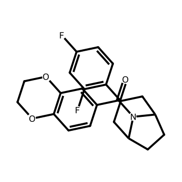 O=C(c1ccc2c(c1)OCCO2)N1C2CCC1CC(c1ccc(F)cc1F)C2